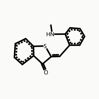 CNc1ccccc1C=C1Sc2ccccc2C1=O